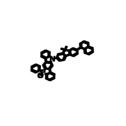 CC1(C)c2cc(-c3cccc4ccccc34)ccc2-c2ccc(-n3c4ccccc4c4cc5c(cc43)-c3ccccc3P5(=O)c3ccccc3)cc21